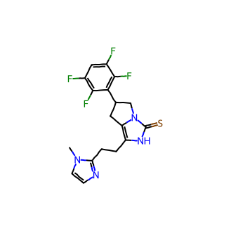 Cn1ccnc1CCc1[nH]c(=S)n2c1CC(c1c(F)c(F)cc(F)c1F)C2